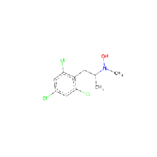 CC(Cc1c(Cl)cc(Cl)cc1Cl)N(C)O